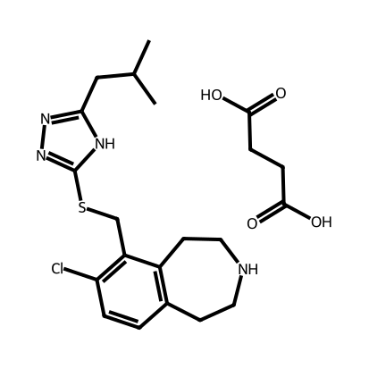 CC(C)Cc1nnc(SCc2c(Cl)ccc3c2CCNCC3)[nH]1.O=C(O)CCC(=O)O